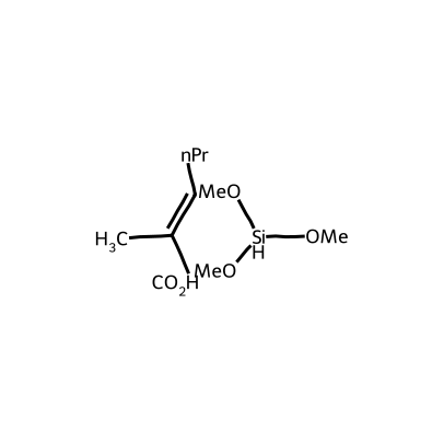 CCC/C=C(\C)C(=O)O.CO[SiH](OC)OC